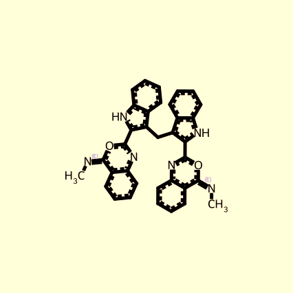 C/N=c1/oc(-c2[nH]c3ccccc3c2Cc2c(-c3nc4ccccc4/c(=N\C)o3)[nH]c3ccccc23)nc2ccccc12